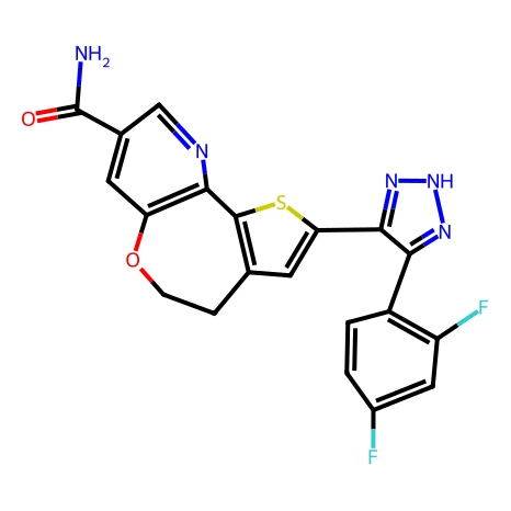 NC(=O)c1cnc2c(c1)OCCc1cc(-c3n[nH]nc3-c3ccc(F)cc3F)sc1-2